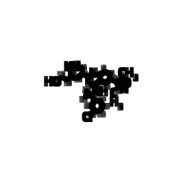 Cc1noc(C)c1-c1ccc2nc(/C(C=N)=C/NCCO)nc(NC3(c4cccc(Cl)c4)CC3)c2c1